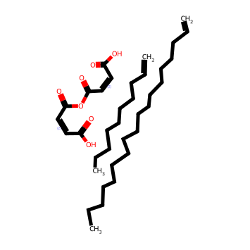 C=CCCCCCCCC.C=CCCCCCCCCCCCCCCCC.O=C(O)/C=C\C(=O)OC(=O)/C=C\C(=O)O